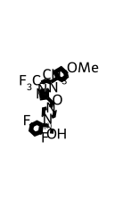 COc1ccc(-c2nc3c(C(=O)N4CCN([C@H](CO)c5cc(F)ccc5F)CC4)cnn3c(C(F)(F)F)c2C)cc1